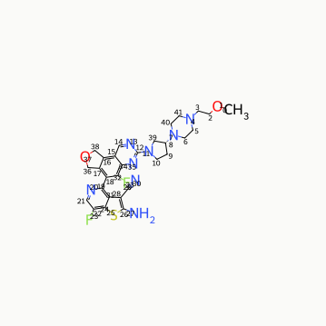 COCCN1CCN([C@@H]2CCN(c3ncc4c5c(c(-c6ncc(F)c7sc(N)c(C#N)c67)c(F)c4n3)COC5)C2)CC1